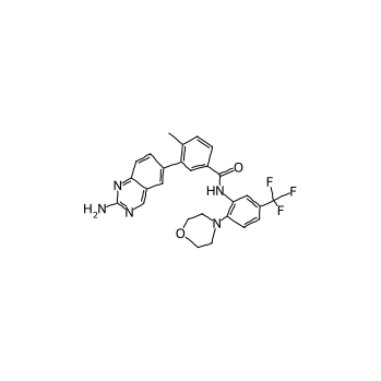 Cc1ccc(C(=O)Nc2cc(C(F)(F)F)ccc2N2CCOCC2)cc1-c1ccc2nc(N)ncc2c1